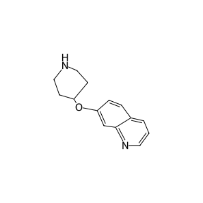 c1cnc2cc(OC3CCNCC3)ccc2c1